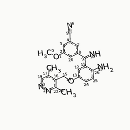 COc1cc(C#N)cc(C(=N)c2cc(OCc3c(C)cnnc3C)ccc2N)c1